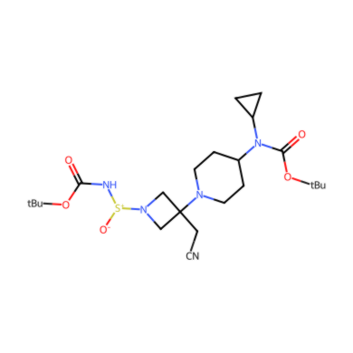 CC(C)(C)OC(=O)N[S+]([O-])N1CC(CC#N)(N2CCC(N(C(=O)OC(C)(C)C)C3CC3)CC2)C1